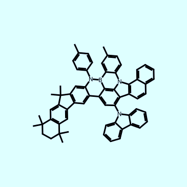 Cc1ccc(N2B3c4cc(C)ccc4-n4c5c3c(cc(-n3c6ccccc6c6ccccc63)c5c3ccc5ccccc5c34)-c3cc4c(cc32)C(C)(C)c2cc3c(cc2-4)C(C)(C)CCC3(C)C)cc1